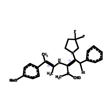 CCC(/C(=C(/N/C(C)=C(\C)c1ccc(OC)cc1)N(C)C=O)N1CCC(F)(F)C1)c1ccccc1